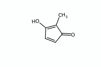 CC1=C(O)C=CC1=O